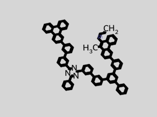 C=C/C=C\c1c(C)c2ccc(-c3cccc(-c4cc(-c5ccccc5)cc(-c5cccc(-c6cccc(-c7nc(-c8ccccc8)nc(-c8cccc(-c9cccc(-c%10ccc%11c%12ccccc%12c%12ccccc%12c%11c%10)c9)c8)n7)c6)c5)c4)c3)cc2c2ccccc12